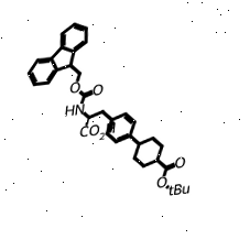 CC(C)(C)OC(=O)C1CCC(c2ccc(C[C@H](NC(=O)OCC3c4ccccc4-c4ccccc43)C(=O)O)cc2)CC1